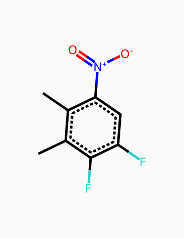 Cc1c([N+](=O)[O-])cc(F)c(F)c1C